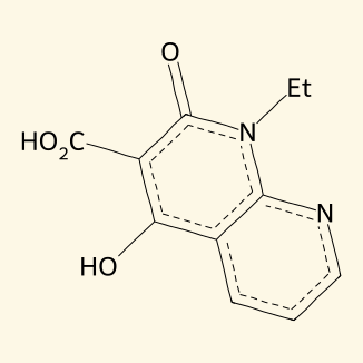 CCn1c(=O)c(C(=O)O)c(O)c2cccnc21